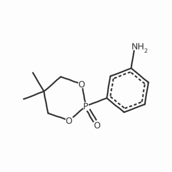 CC1(C)COP(=O)(c2cccc(N)c2)OC1